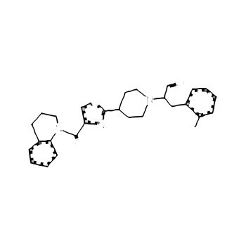 O=CC(Cc1ccccc1Cl)N1CCC(c2nc(C(=O)N3CCCc4ccccc43)cs2)CC1